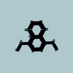 COc1ccc(OC)c2nccnc12